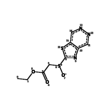 CCOC(=O)C[S+]([O-])c1nc2cnncc2s1